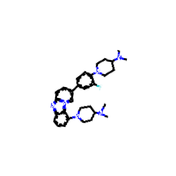 CN(C)C1CCN(c2ccc(-c3ccc4nc5cccc(N6CCC(N(C)C)CC6)c5n4c3)cc2F)CC1